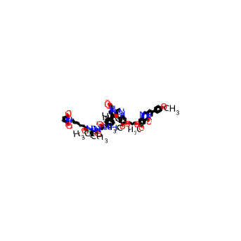 COc1ccc(C2=CN3C(=O)c4cc(OC)c(OCCCOc5cc(/N=C\C6CC(c7ccc(NC(=O)CNC(=O)C(NC(=O)CCCCCN8C(=O)C=CC8=O)C(C)C)cc7)=CN6C=O)c(C)cc5OC)cc4N=CC3C2)cc1